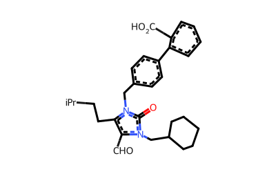 CC(C)CCc1c(C=O)n(CC2CCCCC2)c(=O)n1Cc1ccc(-c2ccccc2C(=O)O)cc1